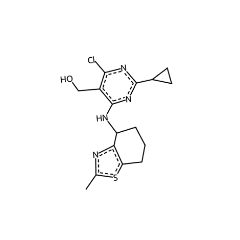 Cc1nc2c(s1)CCCC2Nc1nc(C2CC2)nc(Cl)c1CO